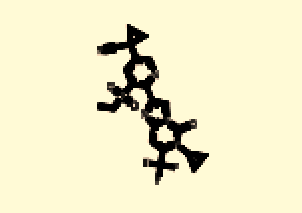 CCS(=O)(=O)c1cc(C2(C#N)CC2)cnc1-c1cn2c(=O)n(C3CC3)c(C(F)(F)F)cc2n1